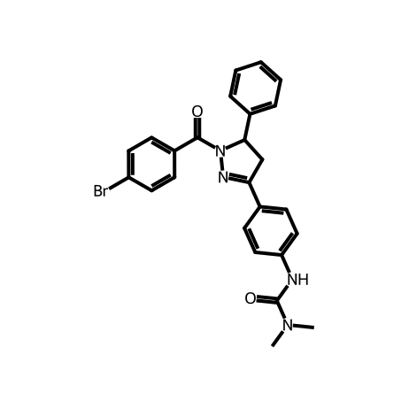 CN(C)C(=O)Nc1ccc(C2=NN(C(=O)c3ccc(Br)cc3)C(c3ccccc3)C2)cc1